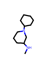 CNC1CCCN(C2CCCCC2)C1